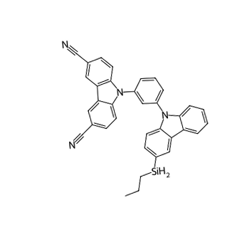 CCC[SiH2]c1ccc2c(c1)c1ccccc1n2-c1cccc(-n2c3ccc(C#N)cc3c3cc(C#N)ccc32)c1